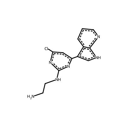 NCCNc1nc(Cl)cc(-c2c[nH]c3ncccc23)n1